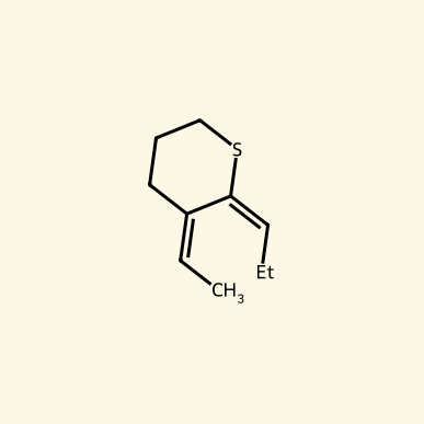 C/C=C1/CCCS/C1=C/CC